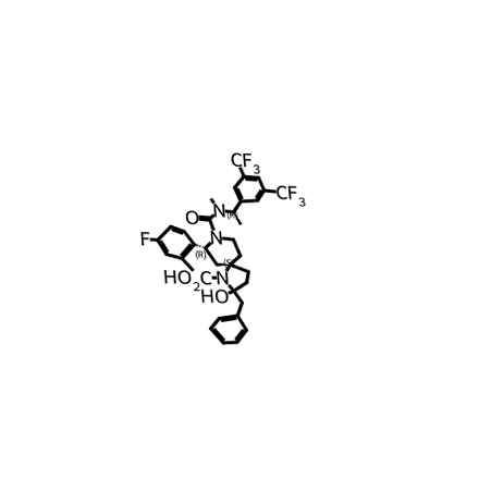 Cc1cc(F)ccc1[C@H]1C[C@@]2(CCN1C(=O)N(C)[C@H](C)c1cc(C(F)(F)F)cc(C(F)(F)F)c1)CCC(O)(Cc1ccccc1)N2C(=O)O